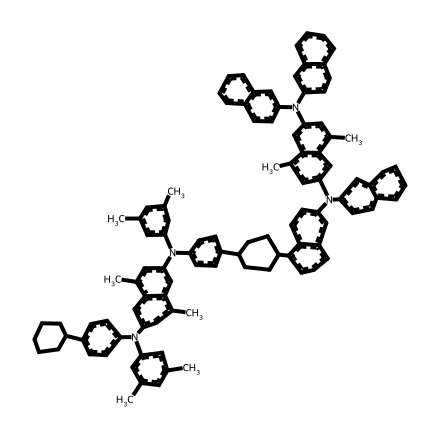 Cc1cc(C)cc(N(c2ccc(C3CCCCC3)cc2)c2cc(C)c3cc(N(c4ccc(C5CCC(c6cccc7cc(N(c8ccc9ccccc9c8)c8cc(C)c9cc(N(c%10ccc%11ccccc%11c%10)c%10ccc%11ccccc%11c%10)cc(C)c9c8)ccc67)CC5)cc4)c4cc(C)cc(C)c4)cc(C)c3c2)c1